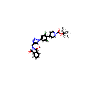 CC(C)(C)OC(=O)N1CC=C(c2c(F)cc(-n3cc(CN4C(=O)c5ccccc5C4=O)nn3)cc2F)CC1